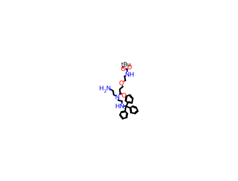 CC(C)(C)OC(=O)NCCOCCC(=O)N(CCN)CCNC(c1ccccc1)(c1ccccc1)c1ccccc1